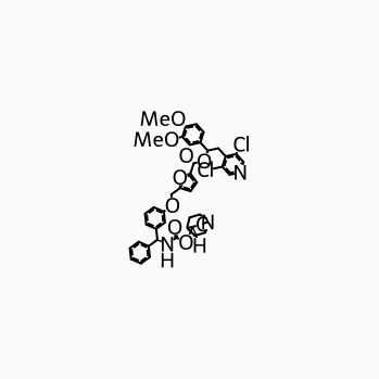 COc1ccc(C(Cc2c(Cl)cncc2Cl)OC(=O)c2ccc(COc3cccc([C@@H](NC(=O)O[C@H]4CN5CCC4CC5)c4ccccc4)c3)o2)cc1OC